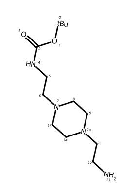 CC(C)(C)OC(=O)NCCN1CCN(CCN)CC1